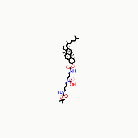 CC(C)CCC[C@@H](C)[C@H]1CC[C@H]2[C@@H]3CC=C4C[C@@H](OC(=O)NCCCN(CCCCNC(=O)OC(C)(C)C)C(=O)O)CC[C@]4(C)[C@H]3CC[C@]12C